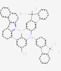 Cc1cc2c3c(c1)N(c1ccc4c(c1)-c1ccccc1C4(C)C)c1cc4c(cc1B3n1c3ccc5ccccc5c3c3cccc-2c31)C(C)(C)c1ccccc1-4